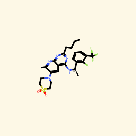 CCCCc1nc(N[C@H](C)c2cccc(C(F)(F)F)c2F)c2cc(N3CCS(=O)(=O)CC3)c(C)nc2n1